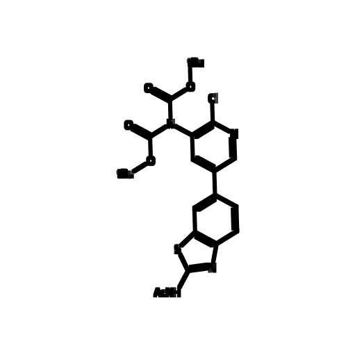 CC(=O)Nc1nc2ccc(-c3cnc(Cl)c(N(C(=O)OC(C)(C)C)C(=O)OC(C)(C)C)c3)cc2s1